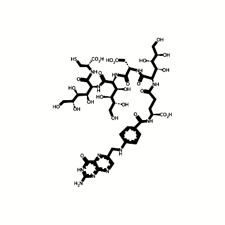 Nc1nc2ncc(CNc3ccc(C(=O)N[C@@H](CCC(=O)N[C@H](C(=O)N[C@@H](CC(=O)O)C(=O)N[C@H](C(=O)N[C@H](C(=O)N[C@H](CS)C(=O)O)[C@@H](O)[C@H](O)[C@H](O)CO)[C@@H](O)[C@H](O)[C@H](O)CO)[C@@H](O)[C@H](O)[C@H](O)CO)C(=O)O)cc3)nc2c(=O)[nH]1